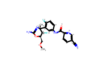 COC[C@H]1OC(N)=N[C@](C)(c2cc(NC(=O)c3ccc(C#N)cn3)ccc2F)[C@H]1F